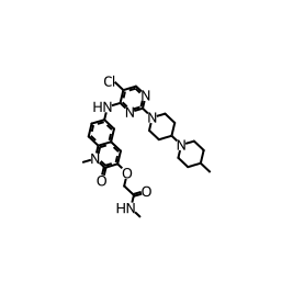 CNC(=O)COc1cc2cc(Nc3nc(N4CCC(N5CCC(C)CC5)CC4)ncc3Cl)ccc2n(C)c1=O